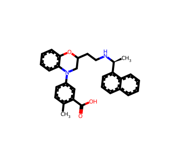 Cc1ccc(N2CC(CCN[C@@H](C)c3cccc4ccccc34)Oc3ccccc32)cc1C(=O)O